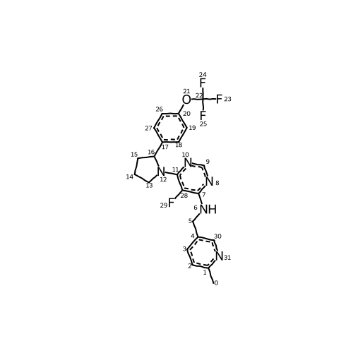 Cc1ccc(CNc2ncnc(N3CCCC3c3ccc(OC(F)(F)F)cc3)c2F)cn1